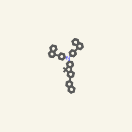 CC1(C)c2cc(-c3ccc4ccccc4c3)ccc2-c2ccc(N(c3ccc(-c4cccc5ccccc45)cc3)c3ccc(-c4cccc5ccccc45)cc3)cc21